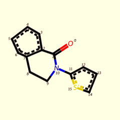 O=C1c2ccccc2CCN1c1cccs1